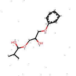 CC(C)C(O)OCC(O)COc1ccccc1